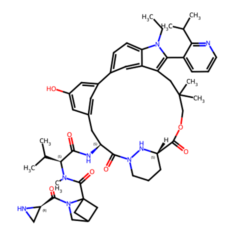 CCn1c(-c2cccnc2C(C)C)c2c3cc(ccc31)-c1cc(O)cc(c1)C[C@H](NC(=O)[C@H](C(C)C)N(C)C(=O)C13CC(CN1C(=O)[C@H]1CN1)C3)C(=O)N1CCC[C@H](N1)C(=O)OCC(C)(C)C2